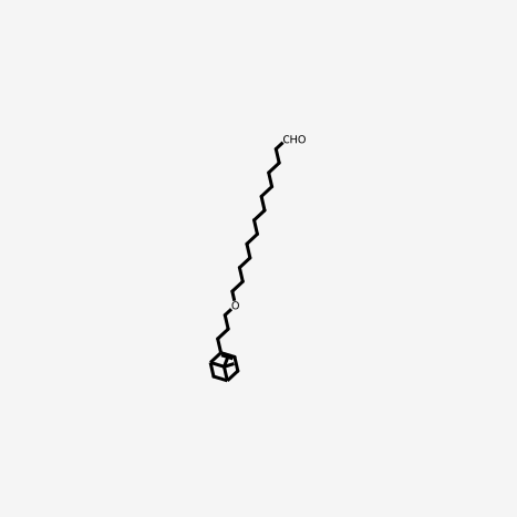 CC1(C)C2CC=C(CCCOCCCCCCCCCCCCCC=O)C1C2